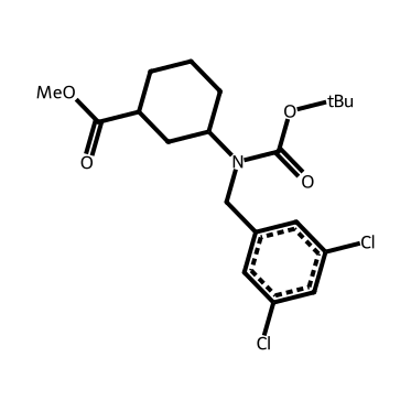 COC(=O)C1CCCC(N(Cc2cc(Cl)cc(Cl)c2)C(=O)OC(C)(C)C)C1